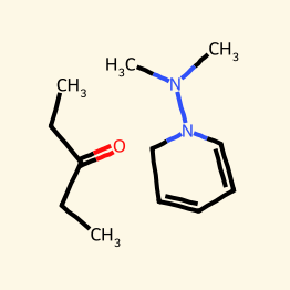 CCC(=O)CC.CN(C)N1C=CC=CC1